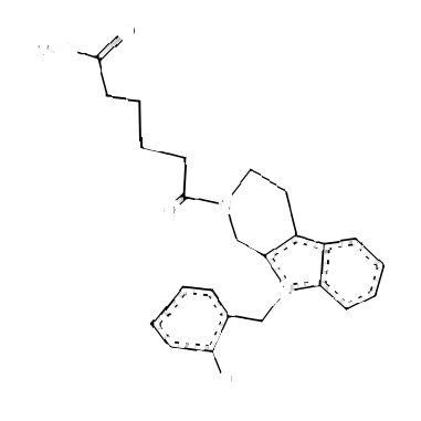 COC(=O)CCCCC(=O)N1CCc2c(n(Cc3ccccc3C(F)(F)F)c3ccccc23)C1